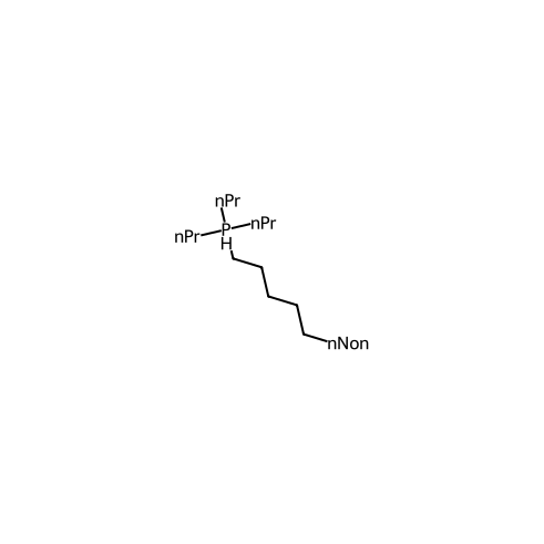 CCCCCCCCCCCCCC[PH](CCC)(CCC)CCC